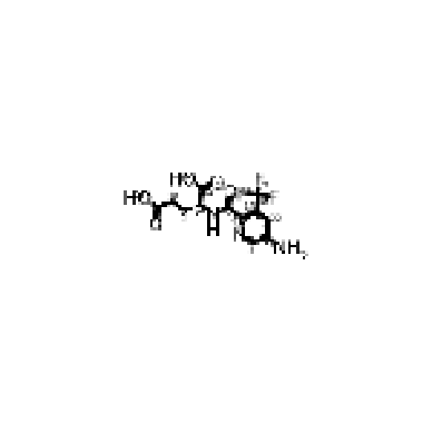 Nc1cnc(C(=O)N[C@@H](CCC(=O)O)C(=O)O)c(C(F)(F)F)c1